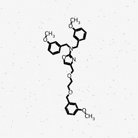 COc1cccc(COCCOCc2coc(N(Cc3cccc(OC)c3)Cc3cccc(OC)c3)n2)c1